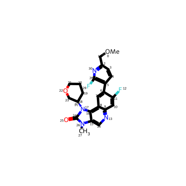 COCc1ccc(-c2cc3c(cc2F)ncc2c3n([C@@H]3CCCOC3)c(=O)n2C)c(F)n1